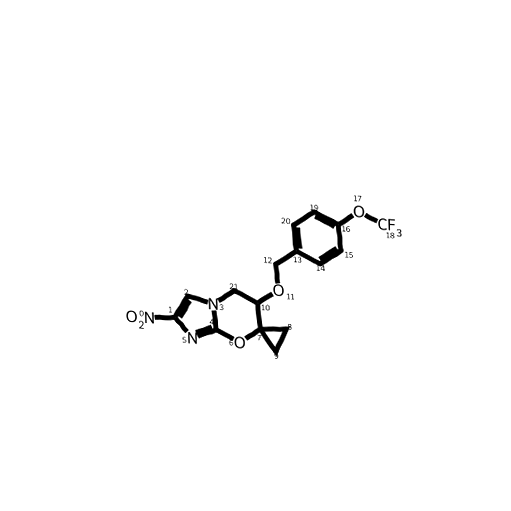 O=[N+]([O-])c1cn2c(n1)OC1(CC1)C(OCc1ccc(OC(F)(F)F)cc1)C2